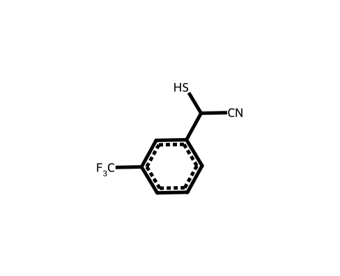 N#CC(S)c1cccc(C(F)(F)F)c1